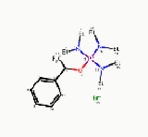 CCN(CC)[P+](OC(c1ccccc1)C(F)(F)F)(N(CC)CC)N(CC)CC.[Br-]